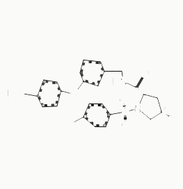 O=C(NCc1cccc(Oc2ccc(C(F)(F)F)cc2)c1)[C@@H]1C[C@@H](F)CN1S(=O)(=O)c1ccc(F)cc1